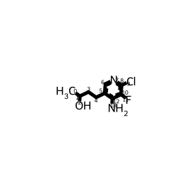 CC(O)CCc1cnc(Cl)c(F)c1N